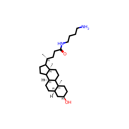 C[C@H](CCC(=O)NCCCCN)C1CCC2[C@@H]3CC[C@@H]4C[C@H](O)CC[C@]4(C)C3CC[C@@]21C